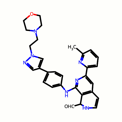 Cc1cccc(-c2cc3c(c(Nc4ccc(-c5cnn(CCN6CCOCC6)c5)cc4)n2)C(C=O)NC=C3)n1